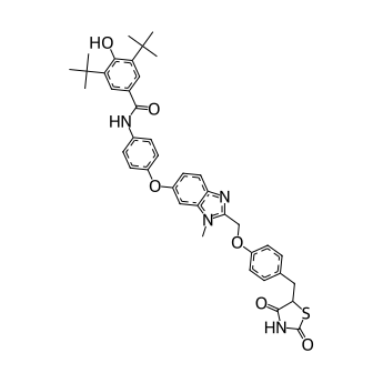 Cn1c(COc2ccc(CC3SC(=O)NC3=O)cc2)nc2ccc(Oc3ccc(NC(=O)c4cc(C(C)(C)C)c(O)c(C(C)(C)C)c4)cc3)cc21